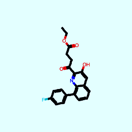 CCOC(=O)CCC(=O)c1nc2c(-c3ccc(F)cc3)cccc2cc1O